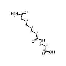 NC(=O)CCCCCCC(=O)NCCC(=O)O